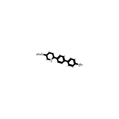 CCCCCC1CCC(c2ccc(-c3ccc(CCCC)cc3)cc2)OC1